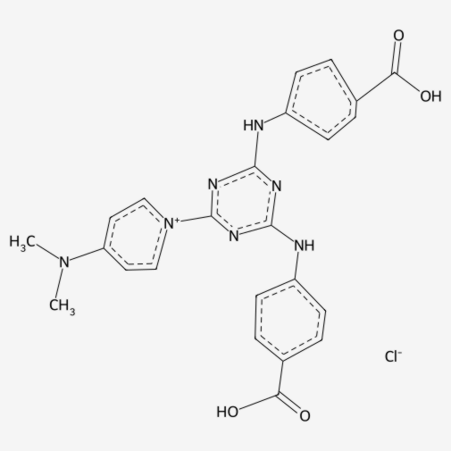 CN(C)c1cc[n+](-c2nc(Nc3ccc(C(=O)O)cc3)nc(Nc3ccc(C(=O)O)cc3)n2)cc1.[Cl-]